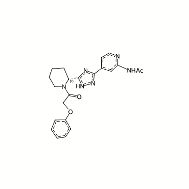 CC(=O)Nc1cc(-c2n[nH]c([C@H]3CCCCN3C(=O)COc3ccccc3)n2)ccn1